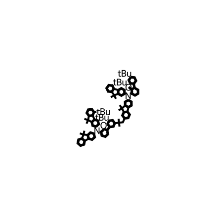 CC(C)(C)c1ccc2c(c1)oc1c(N(c3ccc4c(c3)C(C)(C)c3cc(CC(C)(C)c5cc(C(C)(C)C)c6oc7c(N(c8ccc9c(c8)C(C)(C)c8ccccc8-9)c8ccc9c(c8)C(C)(C)c8cccc(C(C)(C)C)c8-9)cccc7c6c5)ccc3-4)c3ccc4c(c3)C(C)(C)c3cccc(C(C)(C)C)c3-4)cccc12